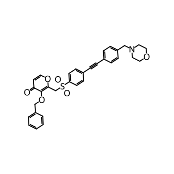 O=c1ccoc(CS(=O)(=O)c2ccc(C#Cc3ccc(CN4CCOCC4)cc3)cc2)c1OCc1ccccc1